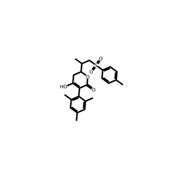 Cc1ccc(S(=O)(=O)CC(C)C2CC(O)=C(c3c(C)cc(C)cc3C)C(=O)O2)cc1